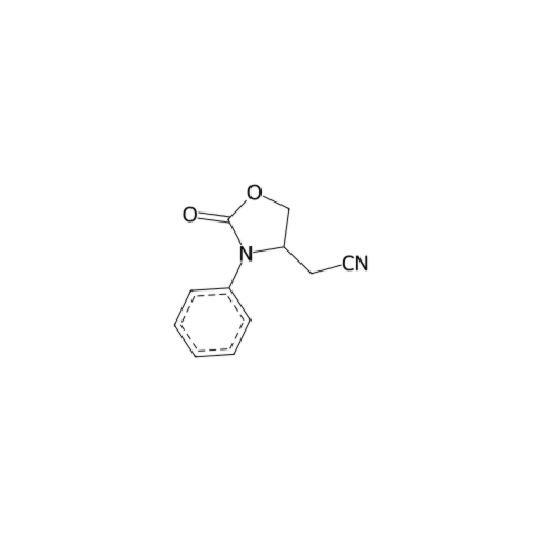 N#CCC1COC(=O)N1c1ccccc1